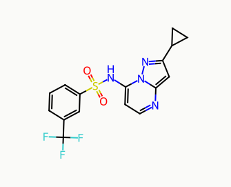 O=S(=O)(Nc1ccnc2cc(C3CC3)nn12)c1cccc(C(F)(F)F)c1